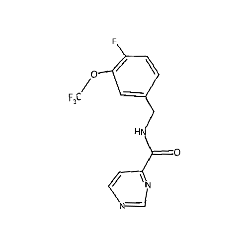 O=C(NCc1ccc(F)c(OC(F)(F)F)c1)c1ccncn1